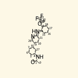 CC(=O)Nc1cccc(-c2ccc(Nc3ccccc3OC(F)(F)F)nc2)c1